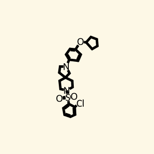 O=S(=O)(c1ccccc1Cl)N1CCC2(CCN(c3ccc(OC4CCCC4)cc3)C2)CC1